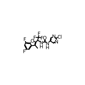 Cc1c(C(NC(=O)Nc2cnc(Cl)nc2)C(F)(F)F)oc2c(F)cc(F)cc12